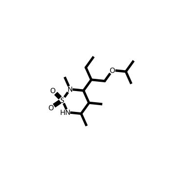 CCC(COC(C)C)C1C(C)C(C)NS(=O)(=O)N1C